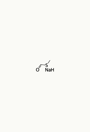 CSC=O.[NaH]